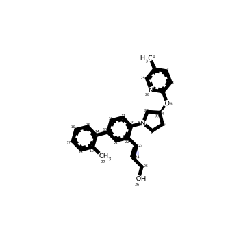 Cc1ccc(O[C@H]2CCN(c3ccc(-c4ccccc4C)cc3/C=C/CO)C2)nc1